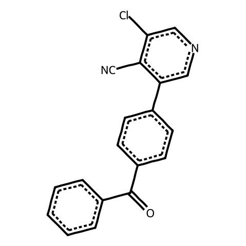 N#Cc1c(Cl)cncc1-c1ccc(C(=O)c2ccccc2)cc1